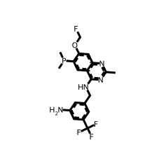 Cc1nc(NCc2cc(N)cc(C(F)(F)F)c2)c2cc(P(C)C)c(OCF)cc2n1